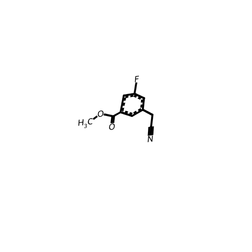 COC(=O)c1cc(F)cc(CC#N)c1